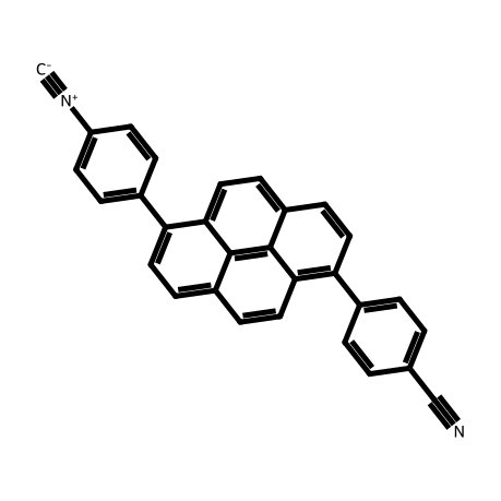 [C-]#[N+]c1ccc(-c2ccc3ccc4c(-c5ccc(C#N)cc5)ccc5ccc2c3c54)cc1